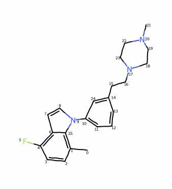 Cc1ccc(F)c2ccn(-c3cccc(CCN4CCN(C)CC4)c3)c12